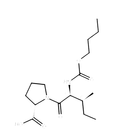 CCCCOC(=O)N[C@H](C(=O)N1CCC[C@H]1C(=O)O)[C@@H](C)CC